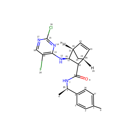 Cc1ccc([C@@H](C)NC(=O)C2[C@@H](Nc3nc(Cl)ncc3F)[C@@H]3C=C[C@H]2C3)cc1